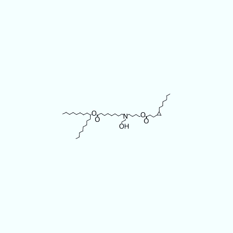 CCCCCCCCC(CCCCCCCC)OC(=O)CCCCCCCN(CCO)CCCCOC(=O)CCC1CC1CCCCCC